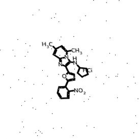 Cc1cc(C)n2c(NC3CCCC3)c(-c3ccc(-c4ccccc4[N+](=O)[O-])o3)nc2c1.Cl